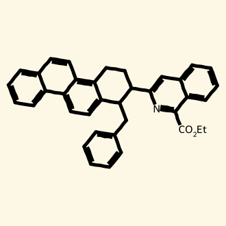 CCOC(=O)c1nc(C2CCc3c(ccc4c3ccc3ccccc34)C2Cc2ccccc2)cc2ccccc12